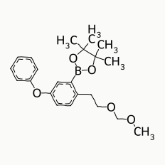 COCOCCc1ccc(Oc2ccccc2)cc1B1OC(C)(C)C(C)(C)O1